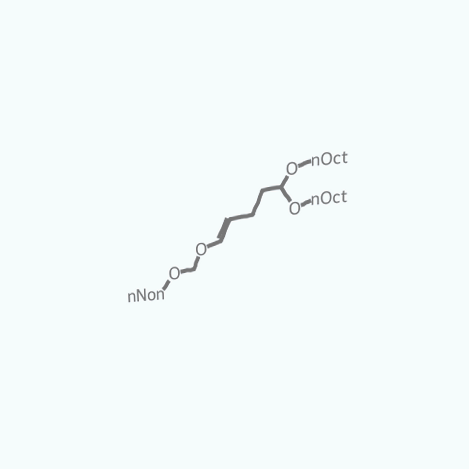 CCCCCCCCCOCOC=CCCC(OCCCCCCCC)OCCCCCCCC